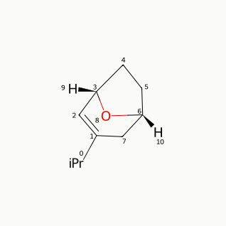 CC(C)C1=C[C@@H]2CC[C@H](C1)O2